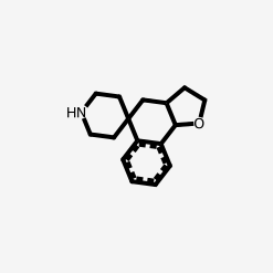 c1ccc2c(c1)C1OCCC1CC21CCNCC1